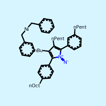 CCCCCCCCc1ccc(C2=C(CCCC)C(CCCCC)=C(c3cccc(CCCCC)c3)[N+]2=[N-])cc1.c1ccc([CH2][Ni][CH2]c2ccccc2)cc1